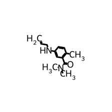 C=CCNc1ccc(C)c(C(=O)N(C)C)c1